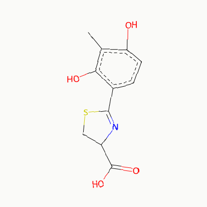 Cc1c(O)ccc(C2=NC(C(=O)O)CS2)c1O